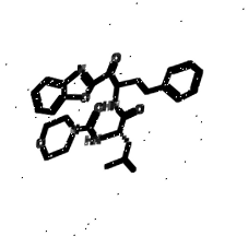 CC(C)C[C@H](NC(=O)N1CCOCC1)C(=O)NC(CCc1ccccc1)C(=O)c1nc2ccccc2o1